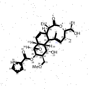 CC[C@@H](O)[C@H]1OC(=O)[C@H](CC)[C@H]2C=C[C@H]3[C@H]4O[C@]2(/C(C)=C/[C@H]1C)[C@@H]3[C@H](O)[C@@H](COC)[C@H]4OC(=O)c1ccc[nH]1